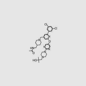 CC(=O)NCC1CCN(Cc2cc(Oc3cnc(N4CCN(CC(C)(C)O)CC4)nc3)nc(-c3cc(Cl)cc(Cl)c3)c2)CC1